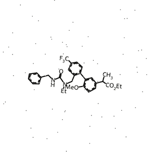 CCOC(=O)C(C)c1ccc(OC)c(-c2ccc(C(F)(F)F)cc2CN(CC)C(=O)NCc2ccccc2)c1